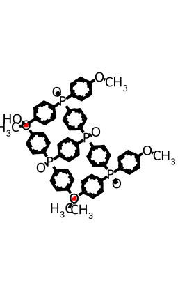 COc1ccc(P(=O)(c2ccc(CO)cc2)c2ccc(P(=O)(c3ccc(P(=O)(c4ccc(OC)cc4)c4ccc(OC)cc4)cc3)c3ccc(P(=O)(c4ccc(OC)cc4)c4ccc(OC)cc4)cc3)cc2)cc1